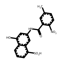 Cc1ccc([N+](=O)[O-])c(C(=O)Nc2cc(O)c3cccc(S(=O)(=O)O)c3c2)c1